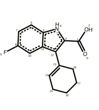 O=C(O)c1[nH]c2ccc(F)cc2c1C1=CCCCC1